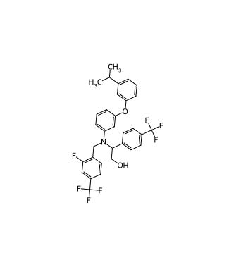 CC(C)c1cccc(Oc2cccc(N(Cc3ccc(C(F)(F)F)cc3F)C(CO)c3ccc(C(F)(F)F)cc3)c2)c1